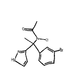 CC(=O)N(Cl)C(C)(c1cccc(Br)c1)c1cc[nH]n1